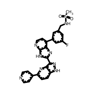 CS(=O)(=O)NCc1cc(F)cc(-c2ccnc3[nH]c(-c4n[nH]c5ccc(-c6ccncc6)nc45)nc23)c1